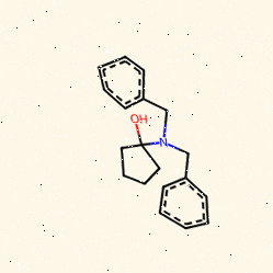 OC1(N(Cc2ccccc2)Cc2ccccc2)CCCC1